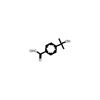 CC(C)(O)c1ccc(C(=O)C=O)cc1